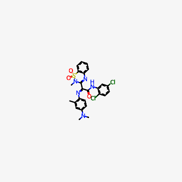 Cc1cc(N(C)C)ccc1/N=C(\C(=O)Nc1cc(Cl)ccc1Cl)C1=Nc2ccccc2S(=O)(=O)N1C